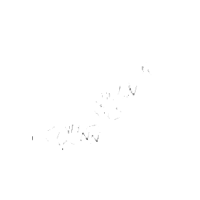 CCOCCN(Cc1cc(Nc2nc(C)cn3c(-c4cnn(Cc5nc6c(F)c(F)ccc6[nH]5)c4)cnc23)sn1)C(C)C